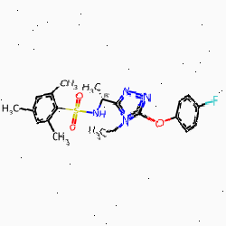 CCn1c(Oc2ccc(F)cc2)nnc1[C@@H](C)NS(=O)(=O)c1c(C)cc(C)cc1C